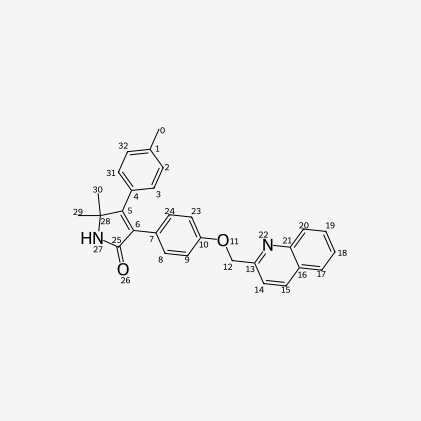 Cc1ccc(C2=C(c3ccc(OCc4ccc5ccccc5n4)cc3)C(=O)NC2(C)C)cc1